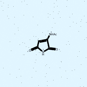 CC(=O)NC1=CC(=O)NC1=O